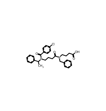 CC(c1ccccc1)N(CCCC(=O)N(CCCC(=O)O)Cc1ccccc1)C(=O)c1ccc(Cl)cc1